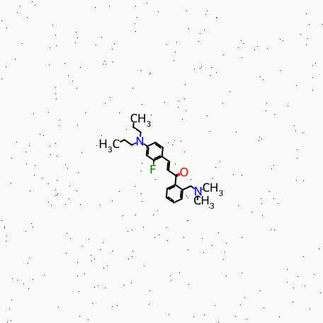 CCCN(CCC)c1ccc(C=CC(=O)c2ccccc2CN(C)C)c(F)c1